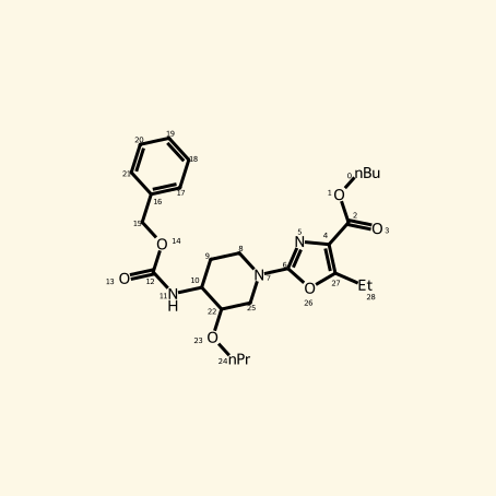 CCCCOC(=O)c1nc(N2CCC(NC(=O)OCc3ccccc3)C(OCCC)C2)oc1CC